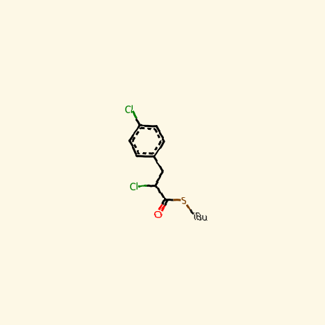 CCC(C)SC(=O)C(Cl)Cc1ccc(Cl)cc1